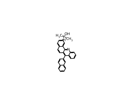 C[PH](C)(O)c1ccc2ccc3c(-c4ccc5ccccc5c4)c4ccccc4nc3c2c1